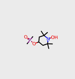 CC1(C)CC(OP(C)(C)=O)CC(C)(C)N1O